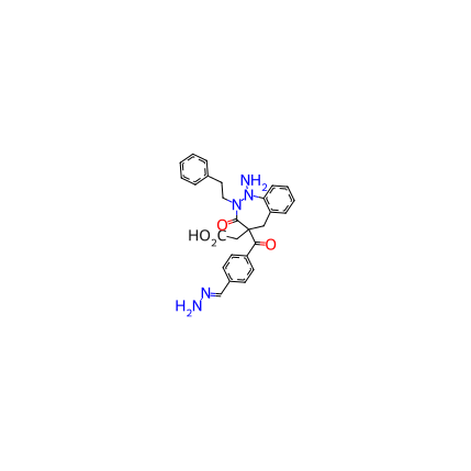 NN=Cc1ccc(C(=O)C2(CC(=O)O)Cc3ccccc3N(N)N(CCc3ccccc3)C2=O)cc1